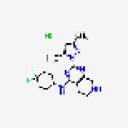 Cc1cc(C)n(-c2nc3c(c(NC4CCC(F)(F)CC4)n2)CCNC3)n1.Cl